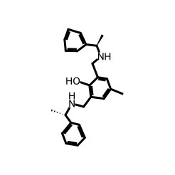 Cc1cc(CN[C@@H](C)c2ccccc2)c(O)c(CN[C@H](C)c2ccccc2)c1